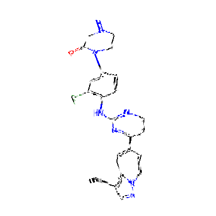 CC(C)(C)c1cnn2ccc(-c3ccnc(Nc4ccc(N5CCNCC5=O)cc4F)n3)cc12